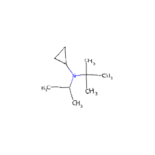 CC(C)N(C1CC1)C(C)(C)C